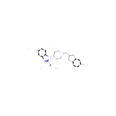 Cc1ccc2c(c1)nc(C(C)(C)O)n2[C@@H]1CCN(CC2Cc3ccc(Br)cc3C2)C[C@H]1O